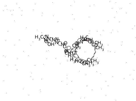 CO[C@H]1C[C@@H]2CC[C@@H](C)[C@@](O)(O2)C(=O)C(=O)N2CCCC[C@H]2C(=O)O[C@H]([C@H](C)C[C@@H]2CC[C@@H](OC(=O)N3CCc4nc(N5CCN(c6ncc(C)cn6)[C@@H](C(=O)O)C5)ncc4C3)[C@H](OC)C2)C[C@@H](OC)[C@H](C)/C=C(\C)[C@@H](O)[C@@H](OC)C(=O)[C@H](C)C[C@H](C)/C=C/C=C/C=C/1C